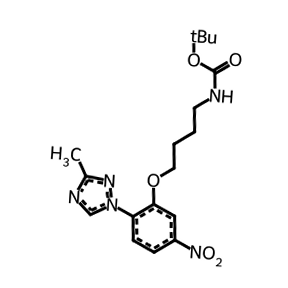 Cc1ncn(-c2ccc([N+](=O)[O-])cc2OCCCCNC(=O)OC(C)(C)C)n1